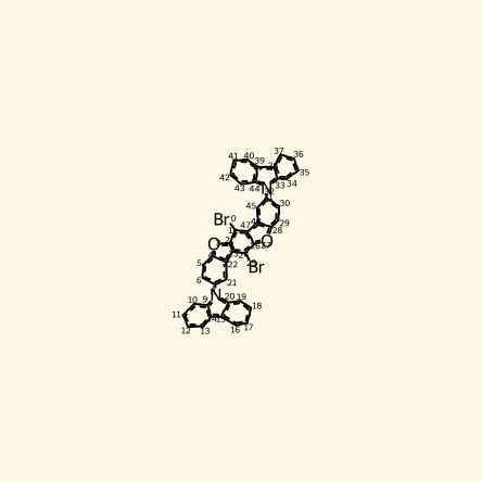 Brc1c2oc3ccc(-n4c5ccccc5c5ccccc54)cc3c2c(Br)c2oc3ccc(-n4c5ccccc5c5ccccc54)cc3c12